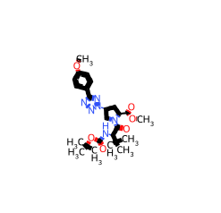 COC(=O)[C@@H]1C[C@@H](n2nnc(-c3ccc(OC)cc3)n2)CN1C(=O)[C@@H](NC(=O)OC(C)(C)C)C(C)(C)C